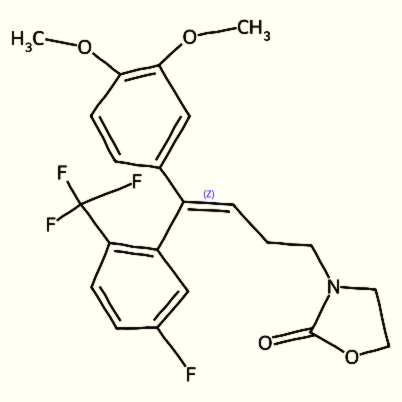 COc1ccc(/C(=C/CCN2CCOC2=O)c2cc(F)ccc2C(F)(F)F)cc1OC